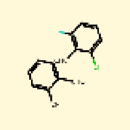 N#Cc1ccccc1C=O.O=Cc1c(F)cccc1Cl